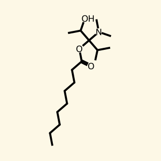 CCCCCCCCC(=O)OC(C(C)C)(C(C)O)N(C)C